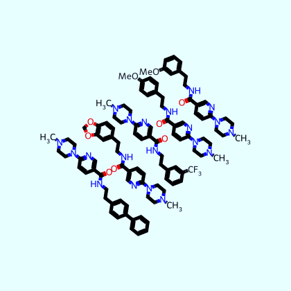 CN1CCN(c2ccc(C(=O)NCCc3ccc(-c4ccccc4)cc3)cn2)CC1.CN1CCN(c2ccc(C(=O)NCCc3ccc4c(c3)OCO4)cn2)CC1.CN1CCN(c2ccc(C(=O)NCCc3cccc(C(F)(F)F)c3)cn2)CC1.COc1ccc(CCNC(=O)c2ccc(N3CCN(C)CC3)nc2)cc1.COc1cccc(CCNC(=O)c2ccc(N3CCN(C)CC3)nc2)c1